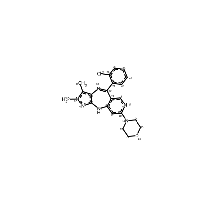 Cc1c2c(nn1P)Nc1cc(N3CCOCC3)ncc1C(c1ccccc1Cl)=N2